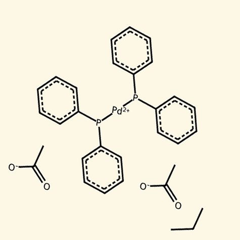 CC(=O)[O-].CC(=O)[O-].CCC.c1ccc([P]([Pd+2][P](c2ccccc2)c2ccccc2)c2ccccc2)cc1